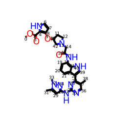 COC(=O)c1[nH]ccc1O[C@H]1CCN(CC(=O)Nc2cccc3c(-c4nc(Nc5cc(C)n(C)n5)ncc4C)c[nH]c23)C1